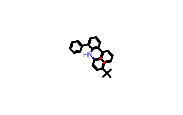 CC(C)(C)c1ccc(Nc2c(-c3ccccc3)cccc2-c2ccccc2)cc1